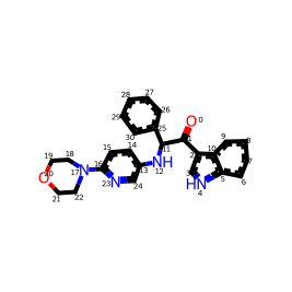 O=C(c1c[nH]c2ccccc12)C(Nc1ccc(N2CCOCC2)nc1)c1ccccc1